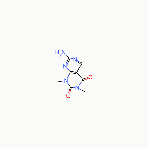 Cn1c(=O)c2cnc(N)nc2n(C)c1=O